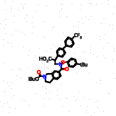 CC(C)COC(=O)N1CCc2ccc(C(=O)N(CC(C(=O)O)c3ccc(-c4ccc(C(F)(F)F)cc4)cc3)Oc3ccc(C(C)(C)C)cc3)cc2C1